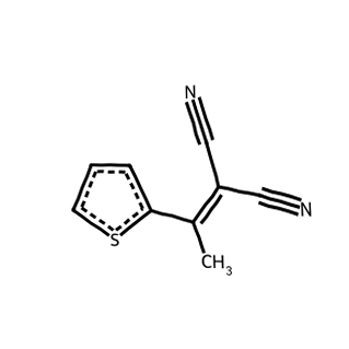 CC(=C(C#N)C#N)c1cccs1